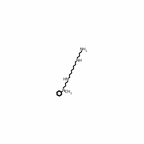 CN(CCCCNCCCCCCCCNCCCCN)c1ccccc1